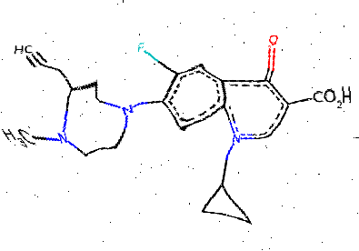 C#CC1CN(c2cc3c(cc2F)c(=O)c(C(=O)O)cn3C2CC2)CCN1C